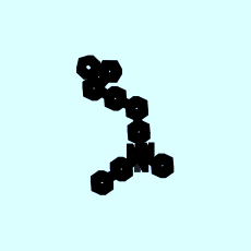 c1ccc(-c2ccc(-c3nc(-c4ccccc4)nc(-c4ccc(-c5cccc(-c6ccc(-c7cccc8c7-c7ccccc7C87CCCCC7)cc6)c5)cc4)n3)cc2)cc1